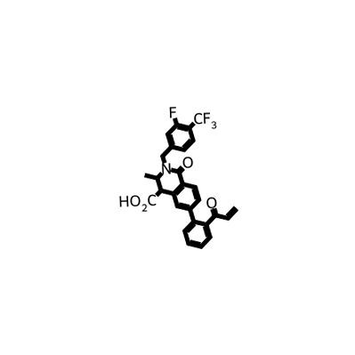 C=CC(=O)c1ccccc1-c1ccc2c(c1)C(C(=O)O)C(C)N(Cc1ccc(C(F)(F)F)c(F)c1)C2=O